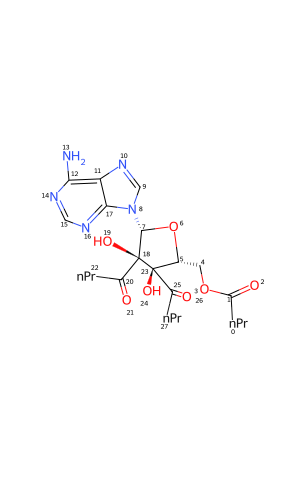 CCCC(=O)OC[C@H]1O[C@@H](n2cnc3c(N)ncnc32)[C@@](O)(C(=O)CCC)[C@@]1(O)C(=O)CCC